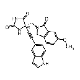 COc1ccc2c(c1)C(=O)N(C[C@]1(C#Cc3ccc4[nH]ccc4c3)NC(=O)NC1=O)C2